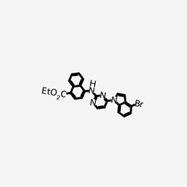 CCOC(=O)c1ccc(Nc2nccc(-n3ccc4c(Br)cccc43)n2)c2ccccc12